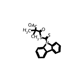 CC(=O)OC(C)(C)C(=O)SC(=S)n1c2ccccc2c2ccccc21